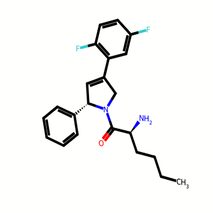 CCCC[C@H](N)C(=O)N1CC(c2cc(F)ccc2F)=C[C@H]1c1ccccc1